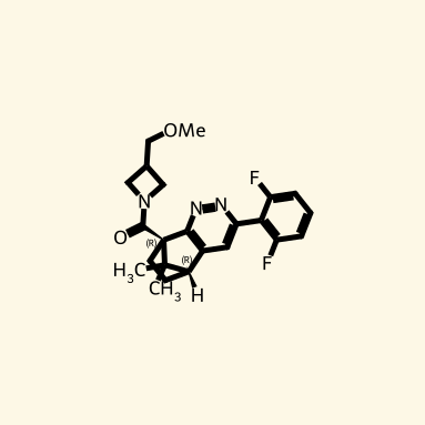 COCC1CN(C(=O)[C@@]23CC[C@@H](c4cc(-c5c(F)cccc5F)nnc42)C3(C)C)C1